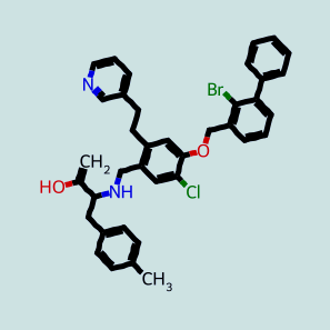 C=C(O)C(Cc1ccc(C)cc1)NCc1cc(Cl)c(OCc2cccc(-c3ccccc3)c2Br)cc1CCc1cccnc1